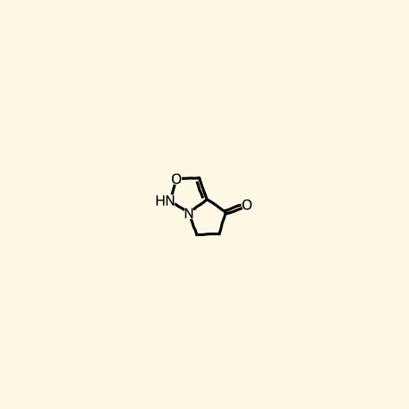 O=C1CCN2NOC=C12